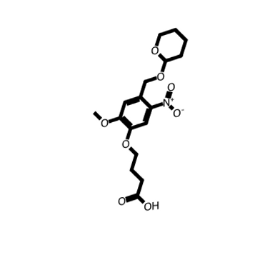 COc1cc(COC2CCCCO2)c([N+](=O)[O-])cc1OCCCC(=O)O